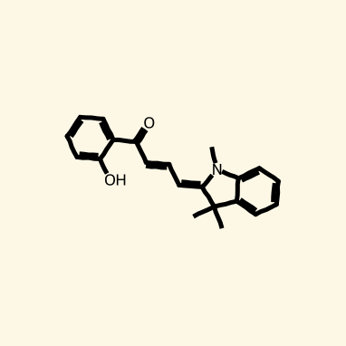 CN1/C(=C\C=C\C(=O)c2ccccc2O)C(C)(C)c2ccccc21